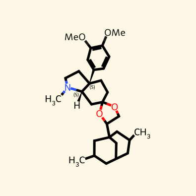 COc1ccc([C@]23CCN(C)[C@H]2CC2(CC3)OCC(C34CC(C)CC(CC(C)C3)C4)O2)cc1OC